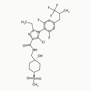 CCc1nc(C(=O)NC[C@]2(O)CC[C@H](S(C)(=O)=O)CC2)c(Cl)n1-c1c(F)cc(CC(C)C(F)(F)F)cc1F